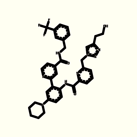 O=C(NCc1cccc(C(F)(F)F)c1)c1ccnc(-c2cc(N3CCCCC3)ccc2NC(=O)c2cccc(Cn3cc(CCO)nn3)n2)c1